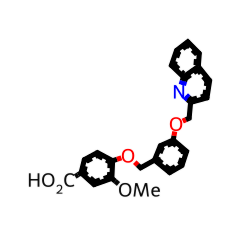 COc1cc(C(=O)O)ccc1OCc1cccc(OCc2ccc3ccccc3n2)c1